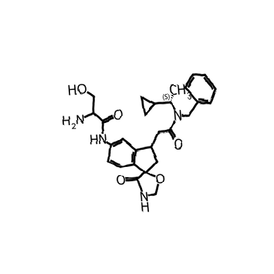 C[C@@H](C1CC1)N(Cc1ccccc1)C(=O)CC1CC2(OCNC2=O)c2ccc(NC(=O)C(N)CO)cc21